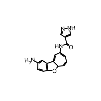 Nc1ccc2c(c1)C1=CC(NC(=O)c3cn[nH]c3)=CC=CC1O2